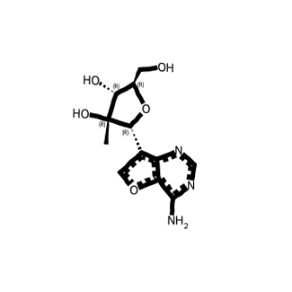 C[C@]1(O)[C@@H](c2coc3c(N)ncnc23)O[C@H](CO)[C@H]1O